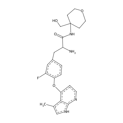 Cc1c[nH]c2nccc(Oc3ccc(CC(N)C(=O)NC4(CO)CCOCC4)cc3F)c12